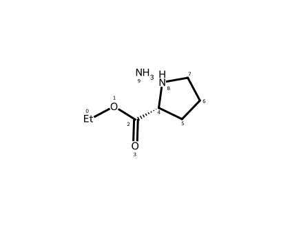 CCOC(=O)[C@H]1CCCN1.N